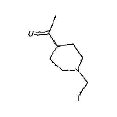 CC(=O)C1CCN(CI)CC1